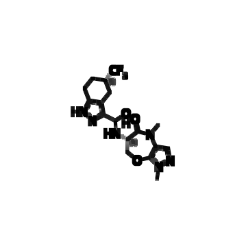 CN1C(=O)[C@@H](NC(O)c2n[nH]c3c2C[C@@H](C(F)(F)F)CC3)COc2c1cnn2C